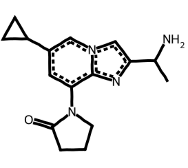 CC(N)c1cn2cc(C3CC3)cc(N3CCCC3=O)c2n1